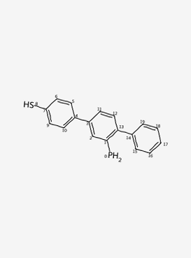 Pc1cc(-c2ccc(S)cc2)ccc1-c1ccccc1